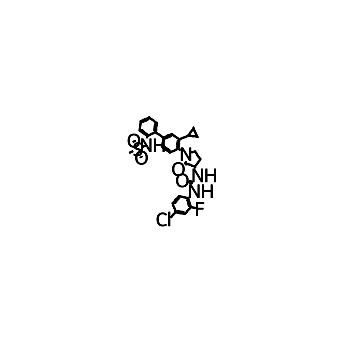 CS(=O)(=O)Nc1ccccc1-c1ccc(N2CC[C@@H](NC(=O)Nc3ccc(Cl)cc3F)C2=O)c(C2CC2)c1